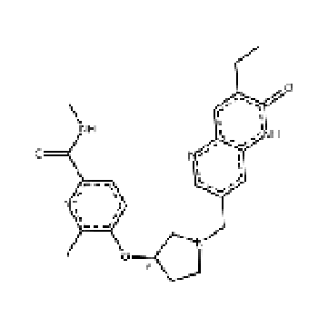 CCc1cc2ncc(CN3CC[C@@H](Oc4ccc(C(=O)NC)nc4C)C3)cc2[nH]c1=O